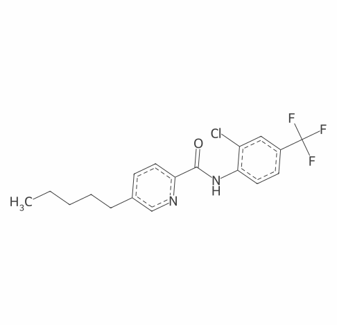 CCCCCc1ccc(C(=O)Nc2ccc(C(F)(F)F)cc2Cl)nc1